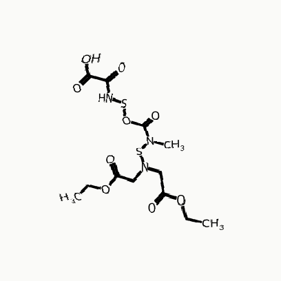 CCOC(=O)CN(CC(=O)OCC)SN(C)C(=O)OSNC(=O)C(=O)O